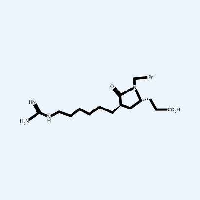 CC(C)CN1C(=O)[C@H](CCCCCCNC(=N)N)C[C@H]1CCC(=O)O